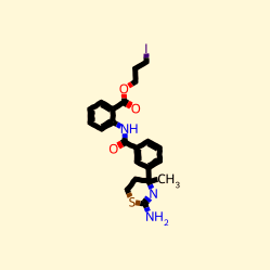 CC1(c2cccc(C(=O)Nc3ccccc3C(=O)OCCCI)c2)CCSC(N)=N1